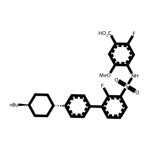 CCCC[C@H]1CC[C@H](c2ccc(-c3cccc(S(=O)(=O)Nc4cc(F)c(C(=O)O)cc4OC)c3F)cc2)CC1